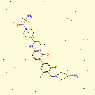 CC(C)(N)C(=O)N1CCN(C(=O)Nc2ccn(-c3cc(F)c(CN4CC5C(N)C5C4)c(F)c3)c(=O)n2)CC1